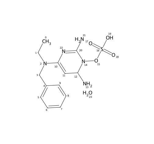 CCN(Cc1ccccc1)C1=CC(N)N(OS(=O)(=O)O)C(N)=N1.O